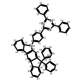 c1ccc(-c2nc(-c3ccccc3)nc(-c3ccc(-n4c5ccccc5c5cc6c(cc54)C(c4ccccc4)(c4ccccc4)c4ccccc4-6)cc3)n2)cc1